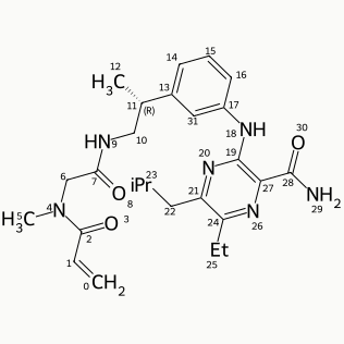 C=CC(=O)N(C)CC(=O)NC[C@H](C)c1cccc(Nc2nc(CC(C)C)c(CC)nc2C(N)=O)c1